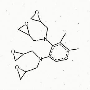 Cc1ccc(N(CC2CO2)CC2CO2)c(N(CC2CO2)CC2CO2)c1C